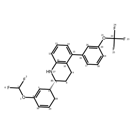 FC(F)OC1=CC([C@H]2CCc3c(cccc3-c3cccc(OC(F)(F)F)c3)N2)CC=C1